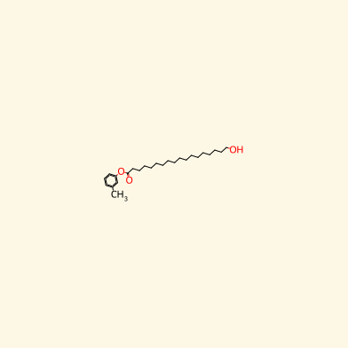 Cc1cccc(OC(=O)CCCCCCCCCCCCCCCCCO)c1